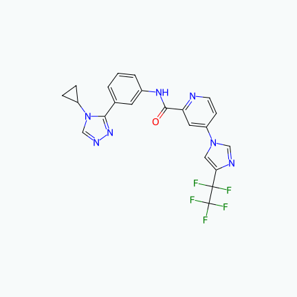 O=C(Nc1cccc(-c2nncn2C2CC2)c1)c1cc(-n2cnc(C(F)(F)C(F)(F)F)c2)ccn1